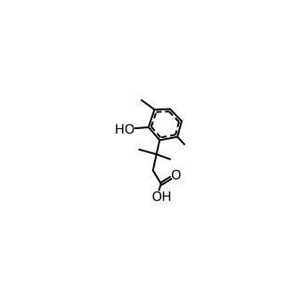 Cc1ccc(C)c(C(C)(C)CC(=O)O)c1O